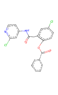 O=C(Oc1ccc(Cl)cc1C(=O)Nc1ccnc(Cl)c1)c1ccccc1